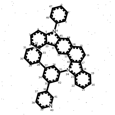 c1ccc(-n2c3ccccc3c3cc4c(ccc5c6ccccc6n(-c6cc(-c7cccnc7)cc(-c7cccnc7)c6)c45)cc32)cc1